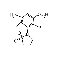 Cc1c(N)cc(C(=O)O)c(F)c1N1CCCS1(=O)=O